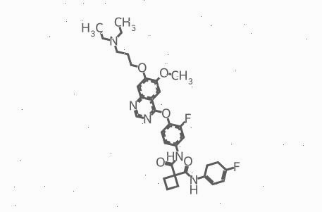 CCN(CC)CCCOc1cc2ncnc(Oc3ccc(NC(=O)C4(C(=O)NC5=CC=C(F)CC5)CCC4)cc3F)c2cc1OC